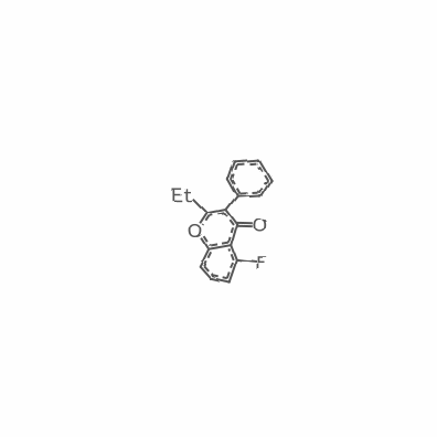 CCc1oc2cccc(F)c2c(=O)c1-c1ccccc1